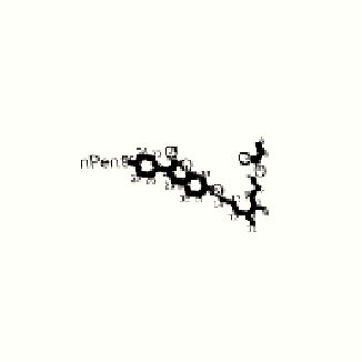 C=CC(=O)OCCCC(C)C(C)CCCOc1ccc2cc(-c3ccc(CCCCC)cc3)c(=O)oc2c1